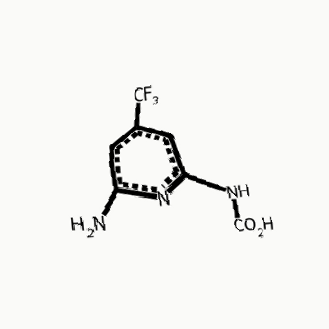 Nc1cc(C(F)(F)F)cc(NC(=O)O)n1